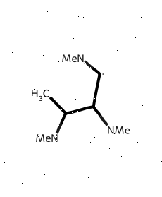 CN[CH]C(NC)C(C)NC